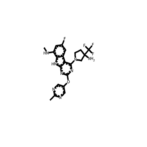 CNc1cc(F)cc2c1[nH]c1nc(Oc3cnc(C)nc3)nc(N3CCC(N)(C(F)(F)F)C3)c12